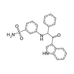 NS(=O)(=O)c1cccc(NC(C(=O)c2c[nH]c3ccccc23)c2ccccc2)c1